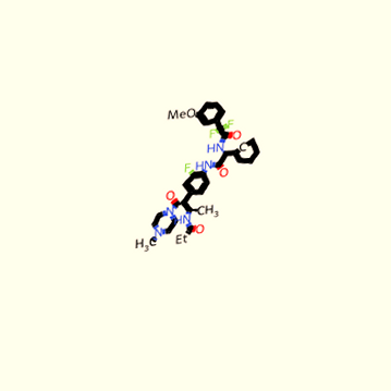 CCC(=O)N[C@H](C)[C@@H](C(=O)N1CCN(C)CC1)c1ccc(NC(=O)[C@@H](NC(=O)C(F)(F)c2cccc(OC)c2)C2CCCCC2)c(F)c1